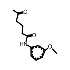 COc1cccc(NC(=O)CCCC(C)=O)c1